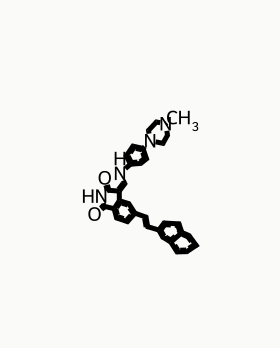 CN1CCN(c2ccc(NC=C3C(=O)NC(=O)c4ccc(C=Cc5ccc6ccccc6c5)cc43)cc2)CC1